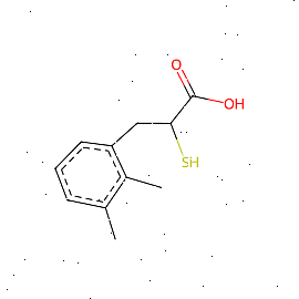 Cc1cccc(CC(S)C(=O)O)c1C